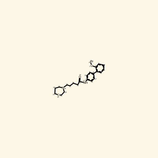 CC(C)Oc1ccccc1-c1ccc(NC(=O)CCCCN2CCCCCC2)cc1